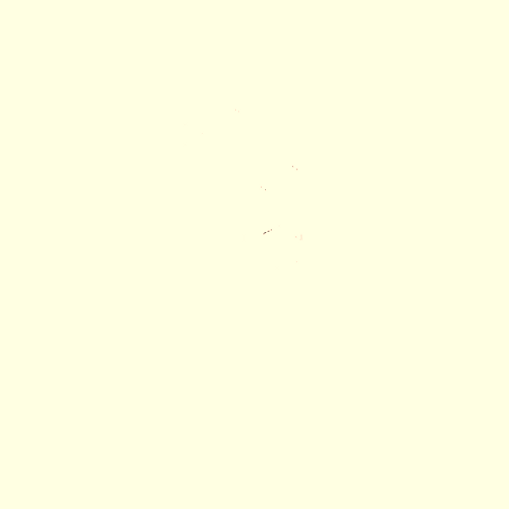 Cc1ccc(C(=O)N[C@@H](C)c2nc(-c3ccnc(C4CC4)c3)no2)s1